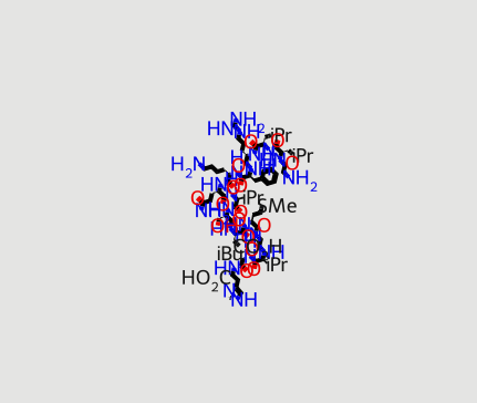 CC[C@H](C)[C@H](NC(=O)[C@@H](NC(=O)CNC(=O)[C@H](CCSC)NC(=O)[C@H](CC(=O)O)NC(=O)[C@H](CO)NC(=O)[C@@H](NC(=O)[C@H](CCC(N)=O)NC(=O)[C@H](CCCCN)NC(=O)[C@H](Cc1ccccc1)NC(=O)[C@H](CCCNC(=N)N)NC(=O)[C@H](CC(C)C)NC(=O)[C@H](CC(C)C)NC(=O)CN)C(C)C)C(C)C)C(=O)N[C@@H](Cc1c[nH]cn1)C(=O)O